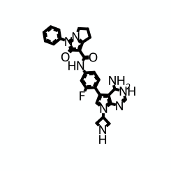 NC1NC=Nc2c1c(-c1ccc(NC(=O)c3c4n(n(-c5ccccc5)c3=O)CCC4)cc1F)cn2C1CNC1